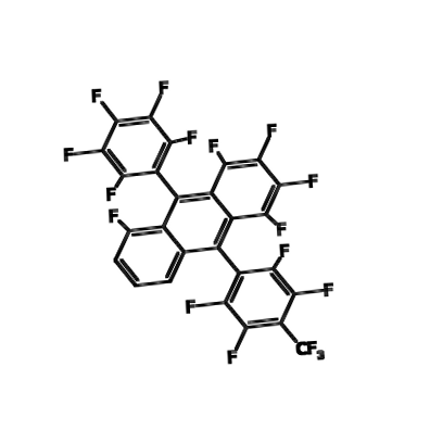 Fc1c(F)c(F)c(-c2c3c(F)cccc3c(-c3c(F)c(F)c(C(F)(F)F)c(F)c3F)c3c(F)c(F)c(F)c(F)c23)c(F)c1F